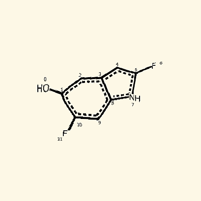 Oc1cc2cc(F)[nH]c2cc1F